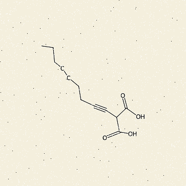 CCCCCCCC#CC(C(=O)O)C(=O)O